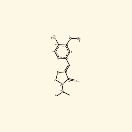 CCOc1cc(/C=C2\SCN(N(C)C)C2=O)ccc1O